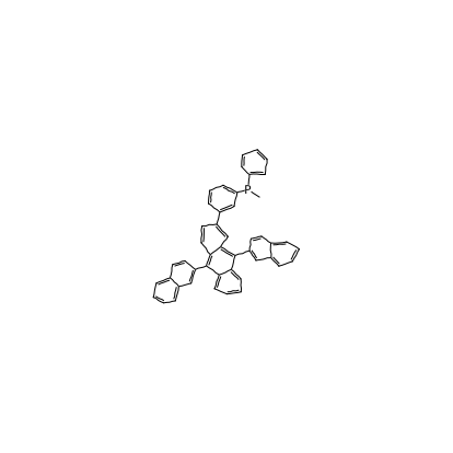 CP(c1ccccc1)c1cccc(-c2ccc3c(-c4ccc5ccccc5c4)c4ccccc4c(-c4ccc5ccccc5c4)c3c2)c1